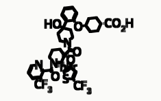 CCC[C@H]1N(C(=O)c2ncccc2C(F)(F)F)CCC[C@@]1(Oc1csc(C(F)(F)F)c1)C(=O)N1CCC(O)(c2ccccc2O[C@H]2CC[C@H](C(=O)O)CC2)CC1